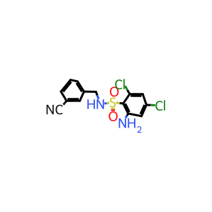 N#Cc1cccc(CNS(=O)(=O)c2c(N)cc(Cl)cc2Cl)c1